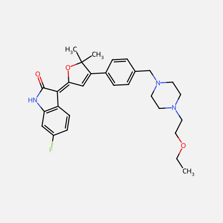 CCOCCN1CCN(Cc2ccc(C3=CC(=C4C(=O)Nc5cc(F)ccc54)OC3(C)C)cc2)CC1